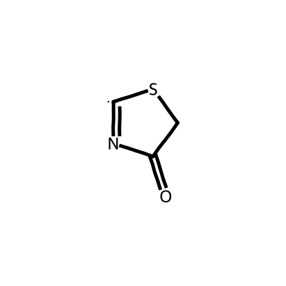 O=C1CS[C]=N1